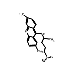 CCN(CC)CCCC(C)Nc1c2ccc(C(F)(F)F)cc2nc2ccc(OC)cc12